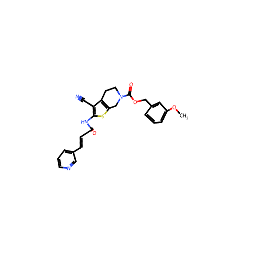 COc1cccc(COC(=O)N2CCc3c(sc(NC(=O)/C=C/c4cccnc4)c3C#N)C2)c1